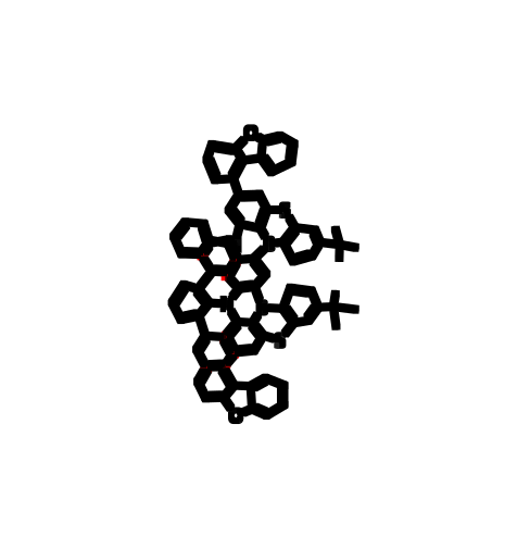 CC(C)(C)c1ccc2c(c1)Sc1cc(-c3cccc4oc5ccccc5c34)cc3c1B2c1cc2c(cc1N3c1ccccc1)N(c1c(-c3ccccc3)cccc1-c1ccccc1)c1cc(-c3cccc4oc5ccccc5c34)cc3c1B2c1ccc(C(C)(C)C)cc1S3